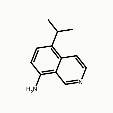 CC(C)c1ccc(N)c2cnccc12